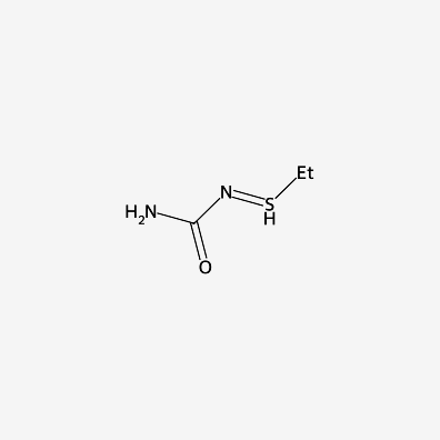 CC[SH]=NC(N)=O